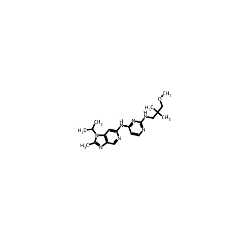 COCC(C)(C)CNc1nccc(Nc2cc3c(cn2)nc(C)n3C(C)C)n1